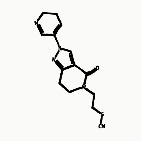 N#CSCCN1CCc2nn(C3=CCCN=C3)cc2C1=O